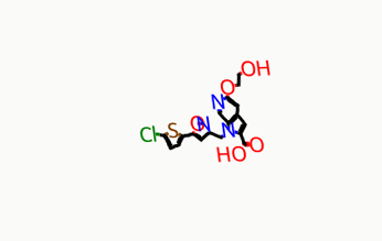 O=C(O)c1cc2cc(OCCO)ncc2n1Cc1cc(-c2ccc(Cl)s2)on1